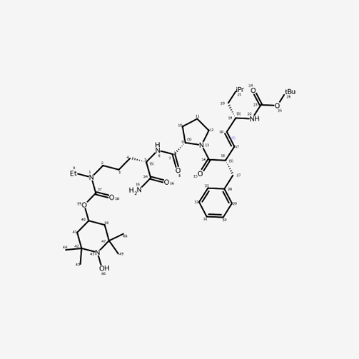 CCN(CCC[C@H](NC(=O)[C@@H]1CCCN1C(=O)[C@H](/C=C/[C@H](CC(C)C)NC(=O)OC(C)(C)C)Cc1ccccc1)C(N)=O)C(=O)OC1CC(C)(C)N(O)C(C)(C)C1